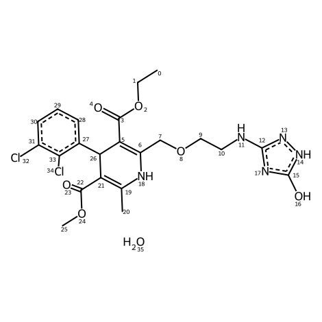 CCOC(=O)C1=C(COCCNc2n[nH]c(O)n2)NC(C)=C(C(=O)OC)C1c1cccc(Cl)c1Cl.O